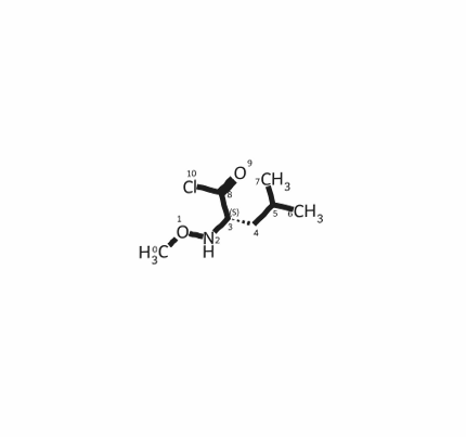 CON[C@@H](CC(C)C)C(=O)Cl